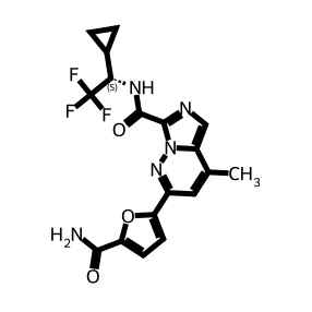 Cc1cc(-c2ccc(C(N)=O)o2)nn2c(C(=O)N[C@@H](C3CC3)C(F)(F)F)ncc12